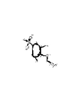 O=C(O)COc1c(F)cc(S(=O)(=O)Cl)cc1F